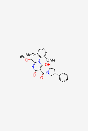 COc1cccc(OC)c1-n1c(COC(C)C)nc(=O)c(C(=O)N2CC[C@H](c3ccccc3)C2)c1O